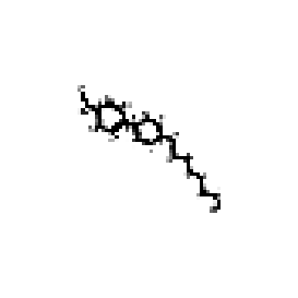 CCCCCCCCC1CC=C(c2ccc(CC)cc2)CC1